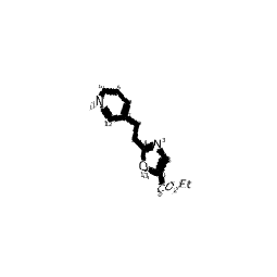 CCOC(=O)c1cnc(CCc2cccnc2)o1